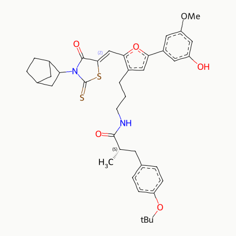 COc1cc(O)cc(-c2cc(CCCNC(=O)[C@@H](C)Cc3ccc(OC(C)(C)C)cc3)c(/C=C3\SC(=S)N(C4CC5CCC4C5)C3=O)o2)c1